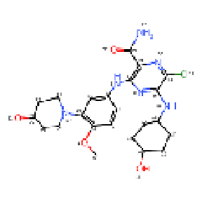 COc1ccc(Nc2nc(NC3CCC(O)CC3)c(Cl)nc2C(N)=O)cc1N1CCC(=O)CC1